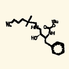 CC(C)(CCCC#N)CNC[C@@H](O)[C@H](Cc1ccccc1)NC(=O)OC(C)(C)C